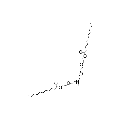 CCCCCCCCCCC(=O)OCCOCCOCCN(C)CCOCCOC(=O)CCCCCCCCCC